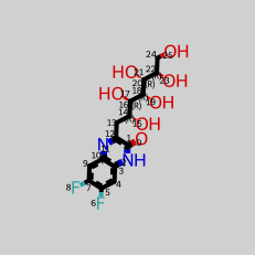 O=c1[nH]c2cc(F)c(F)cc2nc1C[C@@H](O)[C@@H](O)[C@@H](O)[C@H](O)[C@H](O)CO